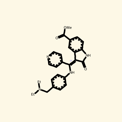 CCN(CC)Cc1ccc(N/C(=C2\C(=O)Nc3ccc(C(=O)OC)cc32)c2ccncc2)cc1